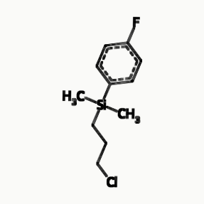 C[Si](C)(CCCCl)c1ccc(F)cc1